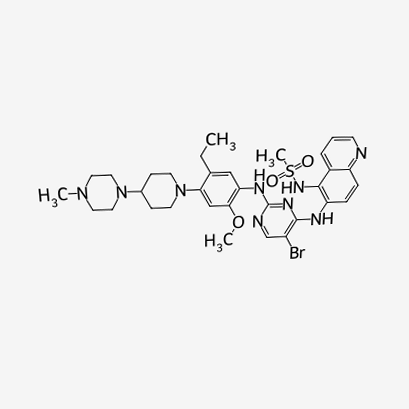 CCc1cc(Nc2ncc(Br)c(Nc3ccc4ncccc4c3NS(C)(=O)=O)n2)c(OC)cc1N1CCC(N2CCN(C)CC2)CC1